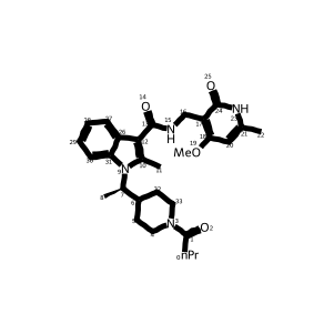 CCCC(=O)N1CCC([C@@H](C)n2c(C)c(C(=O)NCc3c(OC)cc(C)[nH]c3=O)c3ccccc32)CC1